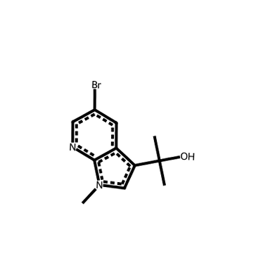 Cn1cc(C(C)(C)O)c2cc(Br)cnc21